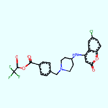 O=C(OC(=O)C(F)(F)F)c1ccc(CN2CCC(Nc3cc(=O)oc4ccc(Cl)cc34)CC2)cc1